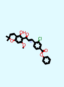 COc1cc2c(c(O)c1C(=O)/C=C/c1ccc(C(=O)Oc3ccccc3)cc1Cl)C=CC(C)(C)O2